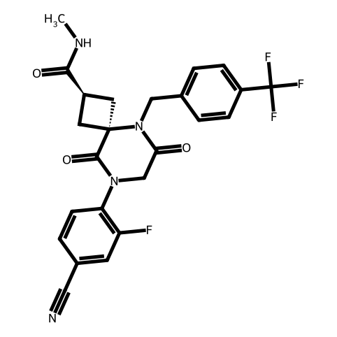 CNC(=O)[C@H]1C[C@@]2(C1)C(=O)N(c1ccc(C#N)cc1F)CC(=O)N2Cc1ccc(C(F)(F)F)cc1